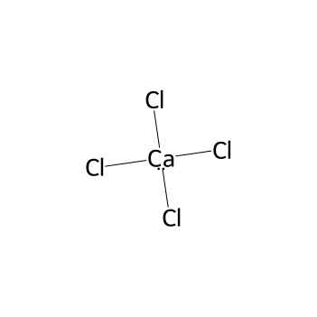 [Cl][Ca]([Cl])([Cl])[Cl]